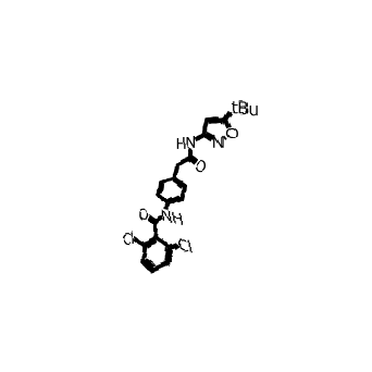 CC(C)(C)c1cc(NC(=O)Cc2ccc(NC(=O)c3c(Cl)cccc3Cl)cc2)no1